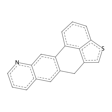 c1cnc2cc3c(cc2c1)Cc1csc2cccc-3c12